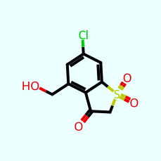 O=C1CS(=O)(=O)c2cc(Cl)cc(CO)c21